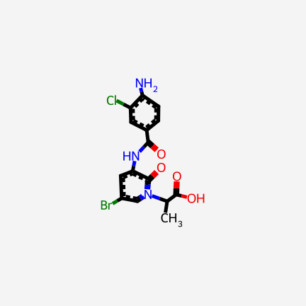 CC(C(=O)O)n1cc(Br)cc(NC(=O)c2ccc(N)c(Cl)c2)c1=O